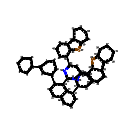 c1ccc(-c2cccc(-c3ccc4cccc(-c5ccccc5)c4c3-c3nc(-c4cccc5c4sc4ccccc45)cc(-c4cccc5c4sc4ccccc45)n3)c2)cc1